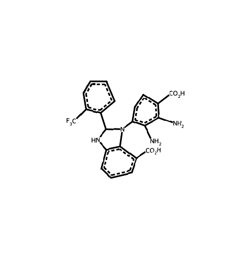 Nc1c(C(=O)O)ccc(N2c3c(cccc3C(=O)O)NC2c2ccccc2C(F)(F)F)c1N